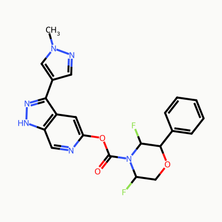 Cn1cc(-c2n[nH]c3cnc(OC(=O)N4C(F)COC(c5ccccc5)C4F)cc23)cn1